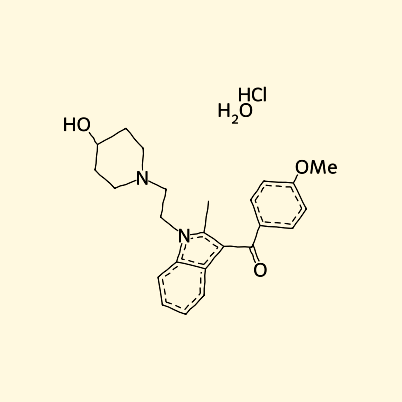 COc1ccc(C(=O)c2c(C)n(CCN3CCC(O)CC3)c3ccccc23)cc1.Cl.O